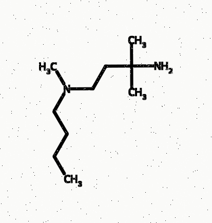 CCCCN(C)CCC(C)(C)N